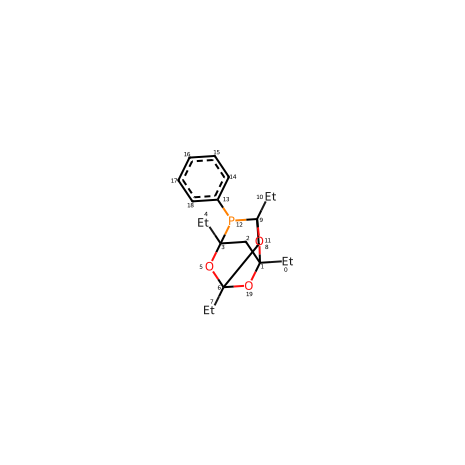 CCC12CC3(CC)OC(CC)(CC(CC)(O1)P3c1ccccc1)O2